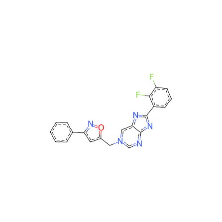 Fc1cccc(-c2nc3cn(Cc4cc(-c5ccccc5)no4)cnc-3n2)c1F